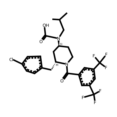 CC(C)CN(C(=O)O)[C@H]1CCN(C(=O)c2cc(C(F)(F)F)cc(C(F)(F)F)c2)[C@H](Cc2ccc(Cl)cc2)C1